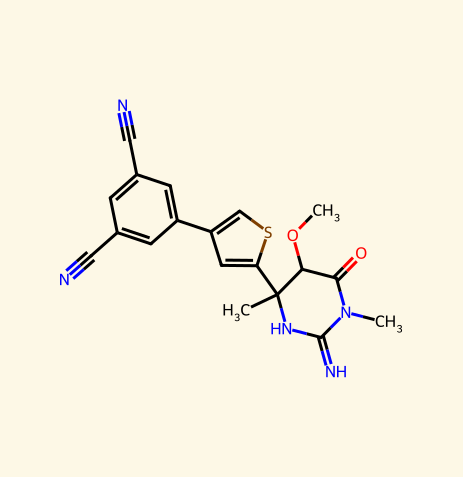 COC1C(=O)N(C)C(=N)NC1(C)c1cc(-c2cc(C#N)cc(C#N)c2)cs1